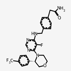 NC(=O)Cc1ccc(CNc2ncnc(N3CCOC[C@@H]3c3ccc(C(F)(F)F)cc3)c2F)cc1